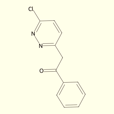 O=C(Cc1ccc(Cl)nn1)c1ccccc1